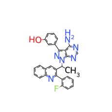 CC(c1cc2ccccc2nc1-c1ccccc1F)n1nc(-c2cccc(O)c2)c2c(N)ncnc21